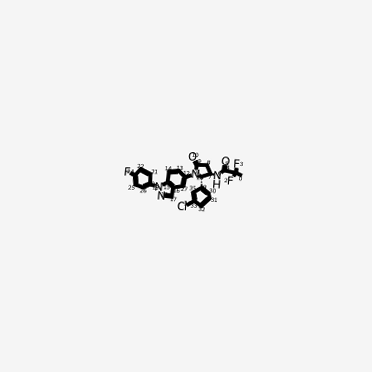 CC(F)(F)C(=O)N[C@@H]1CC(=O)N(c2ccc3c(cnn3-c3ccc(F)cc3)c2)[C@H]1c1cccc(Cl)c1